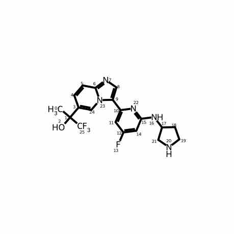 CC(O)(c1ccc2ncc(-c3cc(F)cc(NC4CCNC4)n3)n2c1)C(F)(F)F